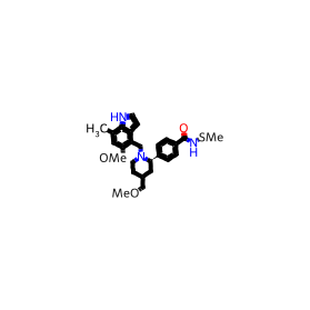 COCC1CCN(Cc2c(OC)cc(C)c3[nH]ccc23)[C@H](c2ccc(C(=O)NSC)cc2)C1